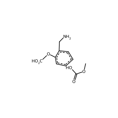 COC(=O)O.NCc1ccccc1OC(=O)O